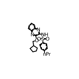 CCCc1ccc(S(=O)(=O)Nc2nc3ccccc3nc2OCC2CCCC2)cc1